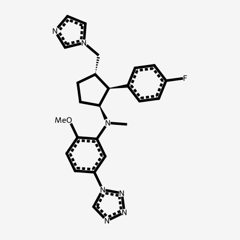 COc1ccc(-n2cnnn2)cc1N(C)[C@H]1CC[C@H](Cn2ccnc2)[C@H]1c1ccc(F)cc1